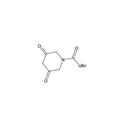 CCCCC(=O)N1CC(=O)CC(=O)C1